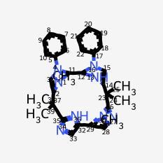 CN1C2=CN(c3ccccc3)C1C1NC(=CN1c1ccccc1)C(C)(C)c1ncc(n1C)-c1cnc([nH]1)C2(C)C